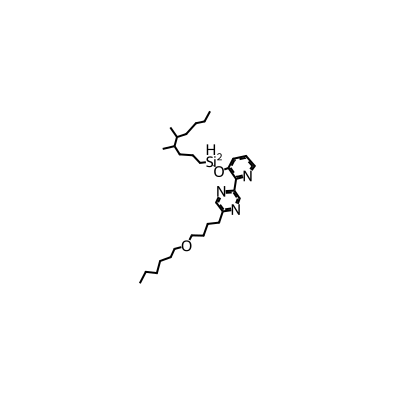 CCCCCCOCCCCc1cnc(-c2ncccc2O[SiH2]CCCC(C)C(C)CCCC)cn1